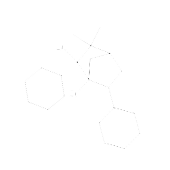 CCC12CC(CC1C1CCCCC1)C(C)(C)C2(CC)C1CCCCC1